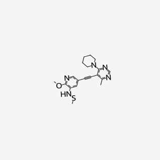 COc1ncc(C#Cc2c(C)ncnc2N2CCCCC2)cc1NSC